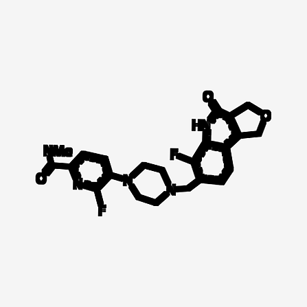 CNC(=O)c1ccc(N2CCN(Cc3ccc4c5c(c(=O)[nH]c4c3F)COC5)CC2)c(F)n1